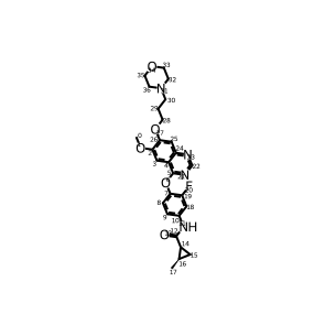 COc1cc2c(Oc3ccc(NC(=O)C4C[C@H]4C)cc3F)ncnc2cc1OCCCN1CCOCC1